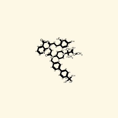 COC(=O)C(C)(C)N1CCC(N(Cc2ccc(-c3ccc(C(F)(F)F)cc3)cc2)C(=O)Cn2c(CCc3ccc(F)cc3F)nc(=O)c3cccnc32)CC1